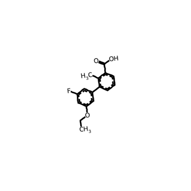 CCOc1cc(F)cc(-c2cccc(C(=O)O)c2C)c1